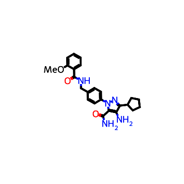 COc1ccccc1C(=O)NCc1ccc(-n2nc(C3CCCC3)c(N)c2C(N)=O)cc1